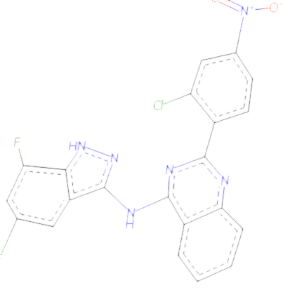 O=[N+]([O-])c1ccc(-c2nc(Nc3n[nH]c4c(F)cc(F)cc34)c3ccccc3n2)c(Cl)c1